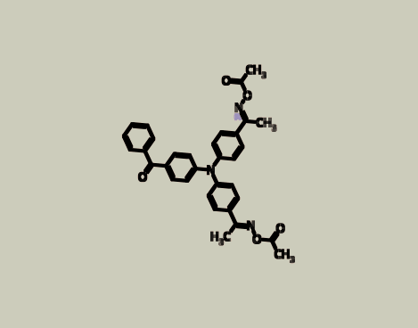 CC(=O)ON=C(C)c1ccc(N(c2ccc(C(=O)c3ccccc3)cc2)c2ccc(/C(C)=N/OC(C)=O)cc2)cc1